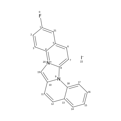 Fc1ccc2c(ccc3n4c(ccc5ccccc54)c[n+]23)c1.[I-]